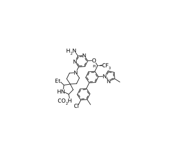 CCC1NC(C(=O)O)CC12CCN(c1cc(O[C@H](c3ccc(-c4ccc(Cl)c(C)c4)cc3-n3ccc(C)n3)C(F)(F)F)nc(N)n1)CC2